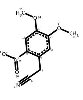 COc1cc(CC#N)c([N+](=O)[O-])cc1OC